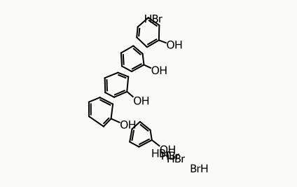 Br.Br.Br.Br.Br.Oc1ccccc1.Oc1ccccc1.Oc1ccccc1.Oc1ccccc1.Oc1ccccc1